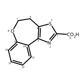 O=C(O)c1nc2c(s1)CCOc1ccccc1-2